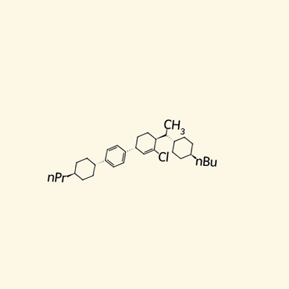 CCCC[C@H]1CC[C@H](C(C)[C@@H]2CC[C@@H](c3ccc([C@H]4CC[C@H](CCC)CC4)cc3)C=C2Cl)CC1